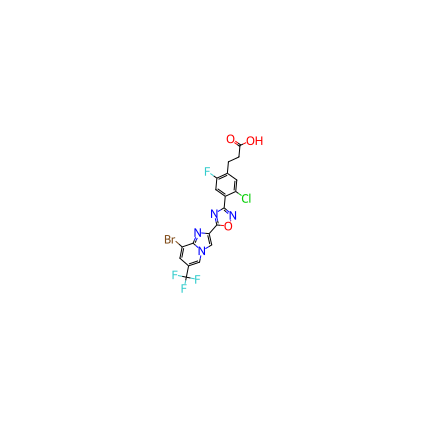 O=C(O)CCc1cc(Cl)c(-c2noc(-c3cn4cc(C(F)(F)F)cc(Br)c4n3)n2)cc1F